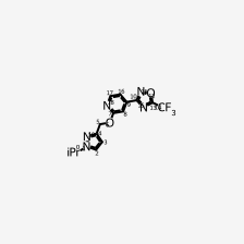 CC(C)n1ccc(COc2cc(-c3noc(C(F)(F)F)n3)ccn2)n1